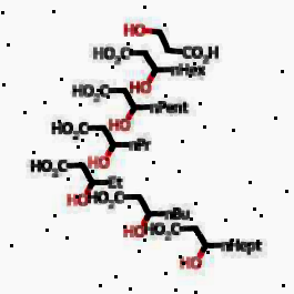 CCC(O)CC(=O)O.CCCC(O)CC(=O)O.CCCCC(O)CC(=O)O.CCCCCC(O)CC(=O)O.CCCCCCC(O)CC(=O)O.CCCCCCCC(O)CC(=O)O.O=C(O)CCO